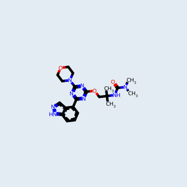 CN(C)C(=O)NC(C)(C)COc1nc(-c2cccc3[nH]ncc23)nc(N2CCOCC2)n1